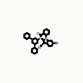 N#Cc1c2ccc(Br)cc2n2c3ccccc3c(=O)n(-c3cc(-c4ccccc4)cc(-c4ccccc4)c3)c12